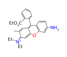 CCOC(=O)c1ccccc1-c1c2cc(C)c(=[N+](CC)CC)cc-2oc2cc(N)ccc12